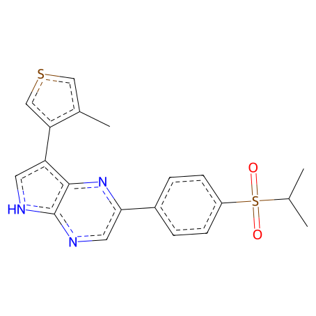 Cc1cscc1-c1c[nH]c2ncc(-c3ccc(S(=O)(=O)C(C)C)cc3)nc12